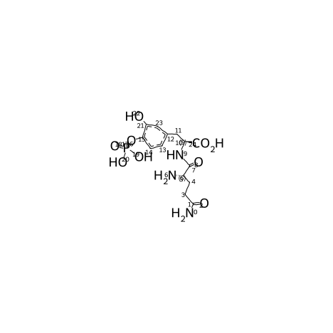 NC(=O)CC[C@H](N)C(=O)N[C@@H](Cc1ccc(OP(=O)(O)O)c(O)c1)C(=O)O